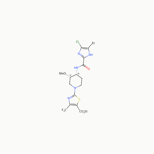 CCOC(=O)c1sc(N2CC[C@@H](NC(=O)c3nc(Cl)c(CC)[nH]3)[C@@H](OC)C2)nc1C(F)(F)F